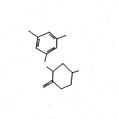 CCOC(=O)C1CCC(=O)C(Oc2cc(Cl)cc(Cl)c2)C1